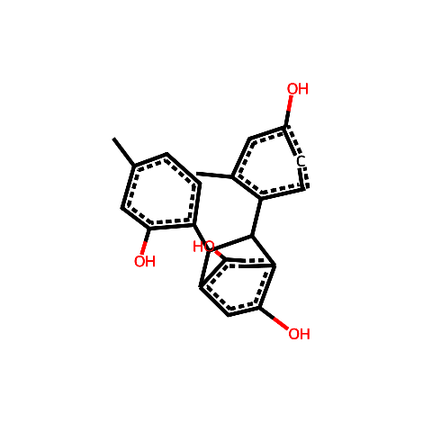 Cc1ccc(C2c3cc(O)c(cc3O)C2c2ccc(O)cc2C)c(O)c1